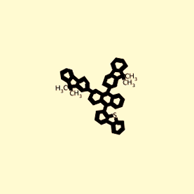 CC1(C)c2ccccc2-c2ccc(-c3ccc4c(-c5cccc6c5sc5ccccc56)c5ccccc5c(-c5ccc6c(c5)C(C)(C)c5ccccc5-6)c4c3)cc21